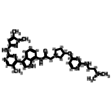 Cc1cnc(Nc2cc(C)n(C)n2)nc1-c1c[nH]c2c(NC(=O)CN3CCC(Oc4ccnc(NCCN(C)C)n4)C3)cccc12